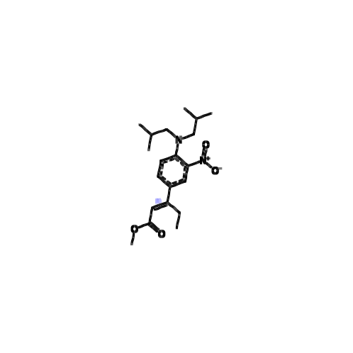 CC/C(=C\C(=O)OC)c1ccc(N(CC(C)C)CC(C)C)c([N+](=O)[O-])c1